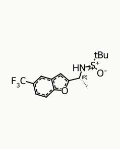 C[C@@H](N[S@@+]([O-])C(C)(C)C)c1cc2cc(C(F)(F)F)ccc2o1